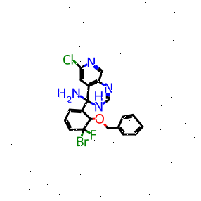 NC1(C2=CC=CC(F)(Br)C2OCc2ccccc2)NC=Nc2cnc(Cl)cc21